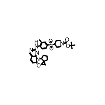 Cc1cc(S(=O)(=O)C2CCN(C(=O)OC(C)(C)C)CC2)ccc1Nc1ncc2ccc(=O)n(C3CCCC34CC4)c2n1